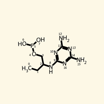 CCC(COP(O)O)Nc1nc(N)nc(N)n1